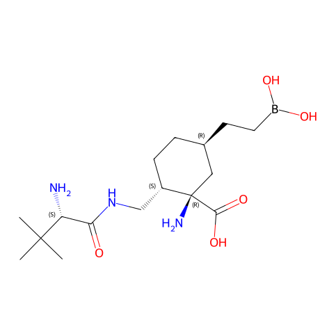 CC(C)(C)[C@H](N)C(=O)NC[C@@H]1CC[C@@H](CCB(O)O)C[C@]1(N)C(=O)O